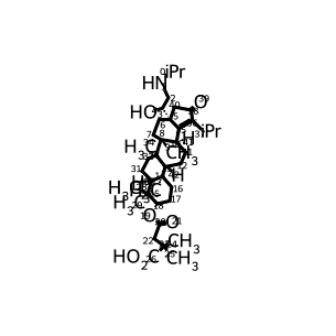 CC(C)NCC(O)[C@@]12CC[C@]3(C)[C@H](CC[C@@H]4[C@@]5(C)CC[C@H](OC(=O)CC(C)(C)C(=O)O)C(C)(C)[C@@H]5CC[C@]43C)C1=C(C(C)C)C(=O)C2